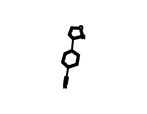 N#Cc1ccc(-c2ccon2)cc1